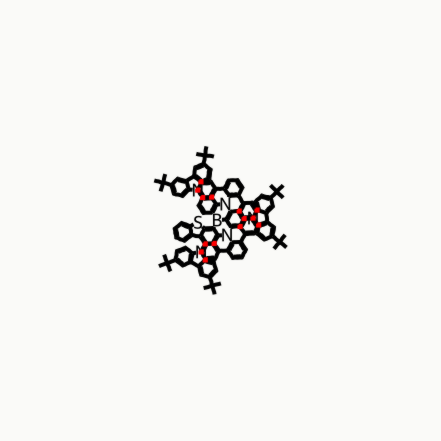 CC(C)(C)c1ccc2c(c1)c1cc(C(C)(C)C)ccc1n2-c1ccc2c(c1)N(c1c(-c3ccccc3)cccc1-c1ccccc1)c1cc(-n3c4ccc(C(C)(C)C)cc4c4cc(C(C)(C)C)ccc43)cc3c1B2c1c(cc(-n2c4ccc(C(C)(C)C)cc4c4cc(C(C)(C)C)ccc42)c2c1sc1ccccc12)N3c1c(-c2ccccc2)cccc1-c1ccccc1